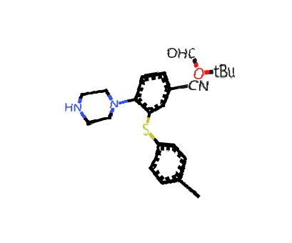 CC(C)(C)OC=O.Cc1ccc(Sc2cc(C#N)ccc2N2CCNCC2)cc1